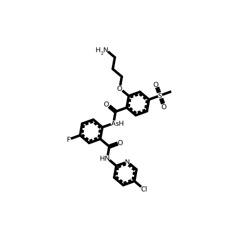 CS(=O)(=O)c1ccc(C(=O)[AsH]c2ccc(F)cc2C(=O)Nc2ccc(Cl)cn2)c(OCCCN)c1